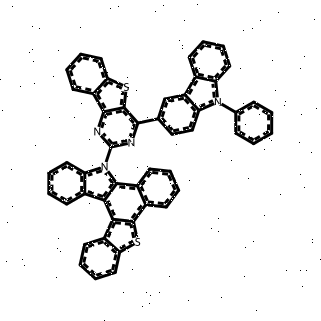 c1ccc(-n2c3ccccc3c3cc(-c4nc(-n5c6ccccc6c6c7c8ccccc8sc7c7ccccc7c65)nc5c4sc4ccccc45)ccc32)cc1